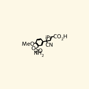 COc1ccc(C(C#N)(CCC(=O)O)C(C)C)cc1S(N)(=O)=O